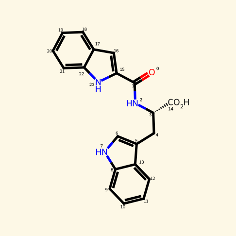 O=C(N[C@@H](Cc1c[nH]c2ccccc12)C(=O)O)c1cc2ccccc2[nH]1